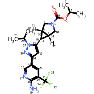 CC(C)OC(=O)N1C[C@@H]2[C@H](C1)[C@H]2c1cc(-c2cnc(N)c(C(F)(F)F)c2)nn1C(C)C